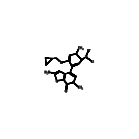 CC[S+]([O-])C1C=C(c2cn(C)c(=O)c3oc(C)cc23)C(OCC2CC2)=CC1C